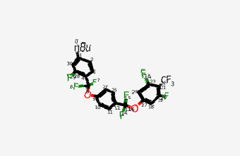 CCCCc1ccc(C(F)(F)Oc2ccc(C(F)(F)Oc3cc(F)c(C(F)(F)F)c(F)c3)cc2)c(F)c1